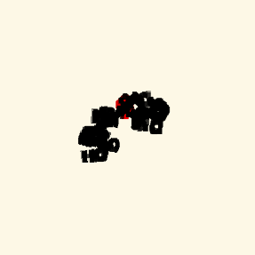 O=C(O)c1cccc(-c2noc(C34CCC(/C=C\c5c(-c6c(Cl)cccc6Cl)noc5C5CC5)(CC3)CC4)n2)c1